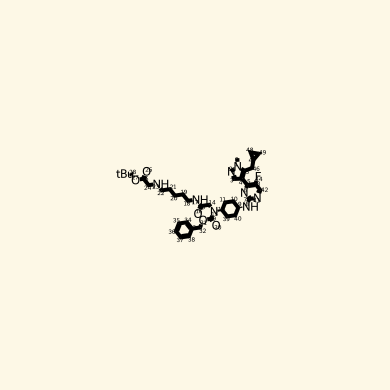 Cn1ncc(-c2nc(N[C@H]3CC[C@H](N(CC(=O)NCCCCCNCC(=O)OC(C)(C)C)C(=O)OCc4ccccc4)CC3)ncc2F)c1CC1CC1